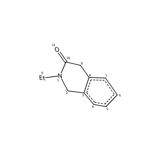 CCN1[C]c2ccccc2CC1=O